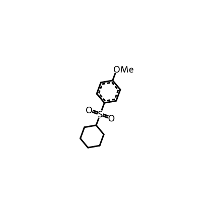 COc1ccc(S(=O)(=O)C2CCCCC2)cc1